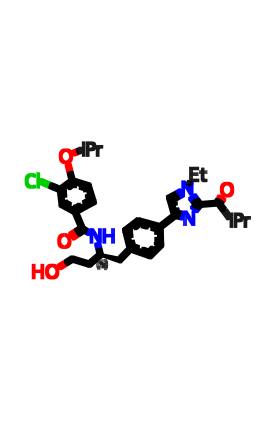 CCn1cc(-c2ccc(C[C@@H](CCO)NC(=O)c3ccc(OC(C)C)c(Cl)c3)cc2)nc1C(=O)C(C)C